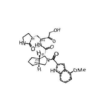 COc1cccc2[nH]c(C(=O)N3C[C@@H]4CCC[C@@H]4[C@@H]3C(=O)N[C@@H](C[C@H]3CCNC3=O)C(=O)CO)cc12